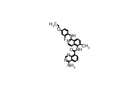 CCOc1ccc(Nc2nccc3c(NC(=O)c4cccc5c(N)ncnc45)c(C)ccc23)c(F)c1